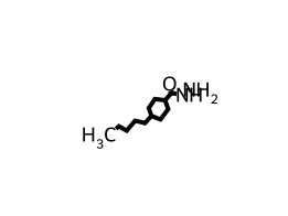 CCCCCC1CCC(C(=O)NN)CC1